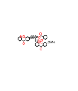 CCCCC(CC)COC(=O)c1ccccc1O.COc1ccc(C(=O)c2ccccc2)c(O)c1.COc1ccc(C(=O)c2ccccc2)c(O)c1